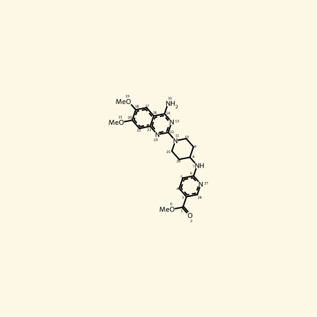 COC(=O)c1ccc(NC2CCN(c3nc(N)c4cc(OC)c(OC)cc4n3)CC2)nc1